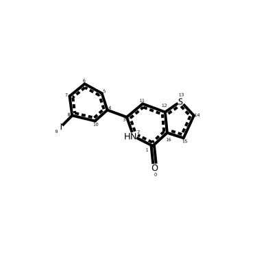 O=c1[nH]c(-c2cccc(I)c2)cc2sccc12